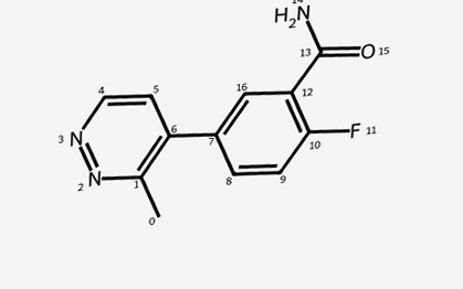 Cc1nnccc1-c1ccc(F)c(C(N)=O)c1